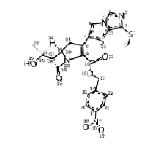 CSc1ncn2cc(C3=C(C(=O)OCc4ccc([N+](=O)[O-])cc4)N4C(=O)[C@H]([C@@H](C)O)[C@H]4C3)sc12